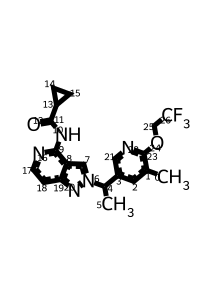 Cc1cc(C(C)n2cc3c(NC(=O)C4CC4)nccc3n2)cnc1OCC(F)(F)F